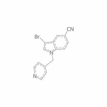 N#Cc1ccc2c(c1)c(Br)cn2Cc1ccncc1